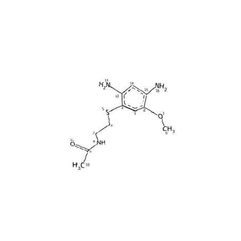 COc1cc(SCCNC(C)=O)c(N)cc1N